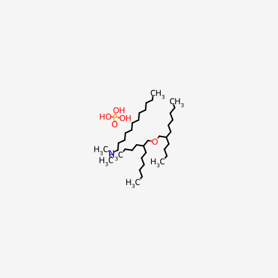 CCCCCCC(CCCC)COCC(CCCC)CCCCCC.CCCCCCCCCCCCN(C)C.O=P(O)(O)O